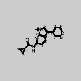 O=C(Nc1ccc2c(-c3ccncc3)c[nH]c2n1)C1CC1